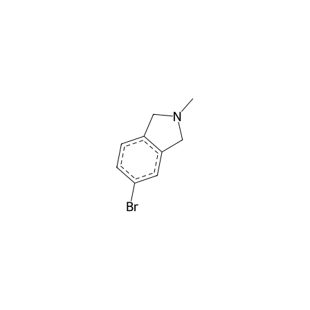 CN1Cc2ccc(Br)cc2C1